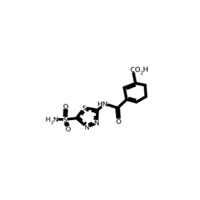 NS(=O)(=O)c1nnc(NC(=O)C2=CCCC(C(=O)O)=C2)s1